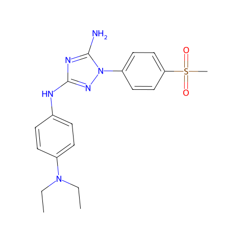 CCN(CC)c1ccc(Nc2nc(N)n(-c3ccc(S(C)(=O)=O)cc3)n2)cc1